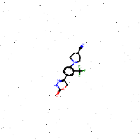 N#CC1CCN(c2ccc(C3=NNC(=O)OC3)cc2C(F)(F)F)CC1